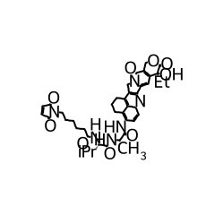 CC[C@@]1(O)C(=O)OCc2c1cc1n(c2=O)Cc2c-1nc1ccc(NC(=O)[C@H](C)NC(=O)[C@@H](NC(=O)CCCCCN3C(=O)C=CC3=O)C(C)C)c3c1c2CCC3